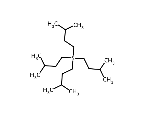 CC(C)CCS(CCC(C)C)(CCC(C)C)CCC(C)C